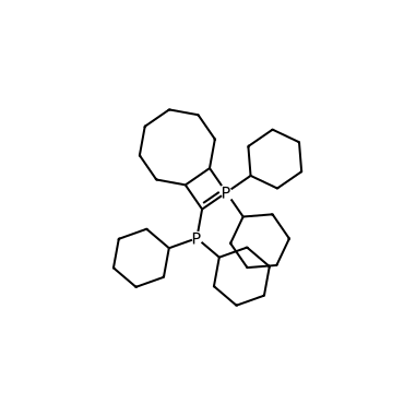 C1CCCC2C(CC1)C(P(C1CCCCC1)C1CCCCC1)=P2(C1CCCCC1)C1CCCCC1